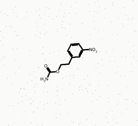 NC(=O)OCCc1cccc([N+](=O)[O-])c1